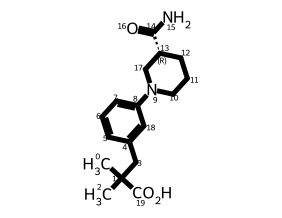 CC(C)(Cc1cccc(N2CCC[C@@H](C(N)=O)C2)c1)C(=O)O